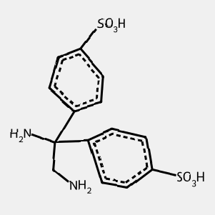 NCC(N)(c1ccc(S(=O)(=O)O)cc1)c1ccc(S(=O)(=O)O)cc1